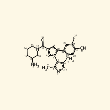 Cc1noc(C)c1-c1sc(C(=O)N2CCCC(N)C2)cc1-c1ccc(C#N)c(F)c1